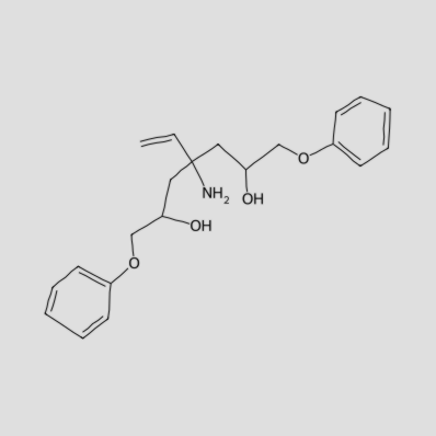 C=CC(N)(CC(O)COc1ccccc1)CC(O)COc1ccccc1